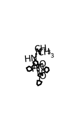 CN(C)CCNc1cc(C(=O)Nc2ccccc2-c2ncc(-c3ccccc3)o2)nc(-c2ccccc2)c1